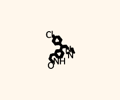 O=C1CCc2cc(/C(=C\n3ccnc3)c3ccc(Cl)cc3)ccc2N1